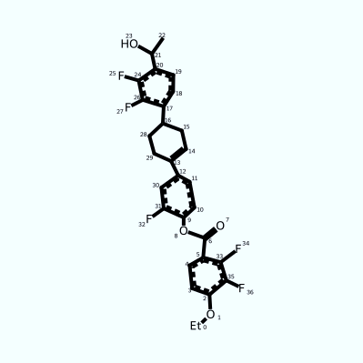 CCOc1ccc(C(=O)Oc2ccc(C3=CCC(c4ccc(C(C)O)c(F)c4F)CC3)cc2F)c(F)c1F